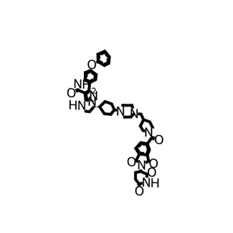 NC(=O)c1c(-c2ccc(Oc3ccccc3)cc2)nn2c1NCC[C@H]2C1CCC(N2CCN(CC3CCN(C(=O)c4ccc5c(c4)C(=O)N(C4CCC(=O)NC4=O)C5=O)CC3)CC2)CC1